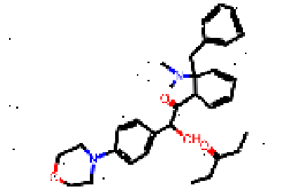 CCC(=O)CC.CN(C)C1(Cc2ccccc2)C=CC=CC1C(=O)C(O)c1ccc(N2CCOCC2)cc1